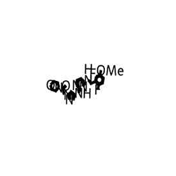 COc1ccc(F)c(CNc2ccnc(Nc3cnn(CC(=O)N4CCOCC4)c3)n2)c1F